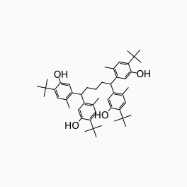 Cc1cc(C(C)(C)C)c(O)cc1C(CCCC(c1cc(O)c(C(C)(C)C)cc1C)c1cc(O)c(C(C)(C)C)cc1C)c1cc(O)c(C(C)(C)C)cc1C